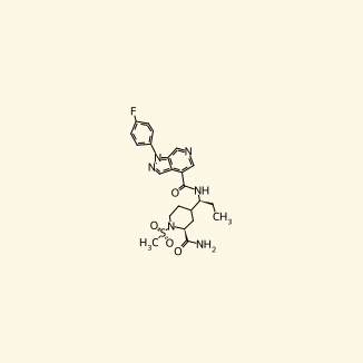 CC[C@H](NC(=O)c1cncc2c1cnn2-c1ccc(F)cc1)C1CCN(S(C)(=O)=O)[C@H](C(N)=O)C1